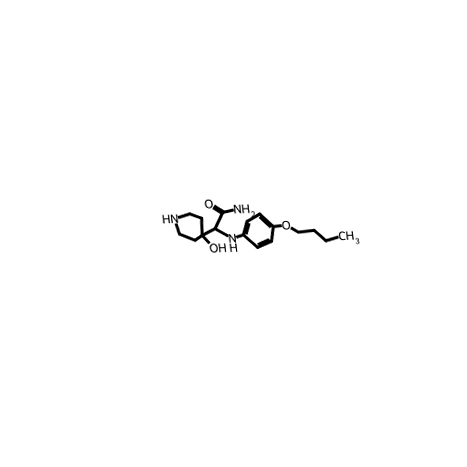 CCCCOc1ccc(NC(C(N)=O)C2(O)CCNCC2)cc1